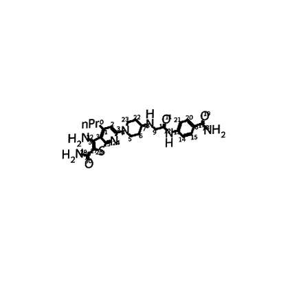 CCCc1cc(N2CCC(NCC(=O)Nc3ccc(C(N)=O)cc3)CC2)nc2sc(C(N)=O)c(N)c12